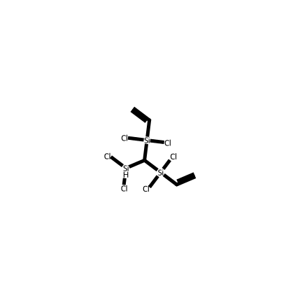 C=C[Si](Cl)(Cl)C([SiH](Cl)Cl)[Si](Cl)(Cl)C=C